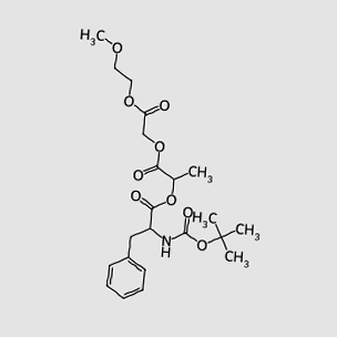 COCCOC(=O)COC(=O)C(C)OC(=O)C(Cc1ccccc1)NC(=O)OC(C)(C)C